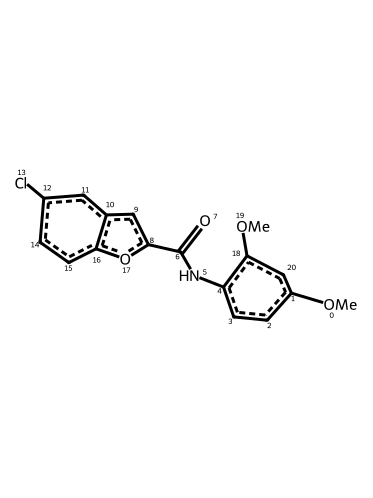 COc1ccc(NC(=O)c2cc3cc(Cl)ccc3o2)c(OC)c1